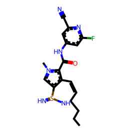 CCCC1C=Cc2c(cn(C)c2C(=O)Nc2cc(F)nc(C#N)c2)S(=N)N1